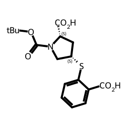 CC(C)(C)OC(=O)N1C[C@@H](Sc2ccccc2C(=O)O)C[C@H]1C(=O)O